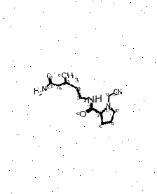 CC(CCNC(=O)C1CCCN1CC#N)CC(N)=O